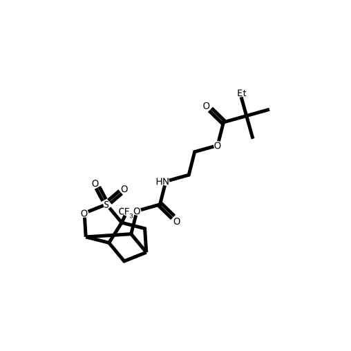 CCC(C)(C)C(=O)OCCNC(=O)OC1C2CC3C1OS(=O)(=O)C3(C(F)(F)F)C2